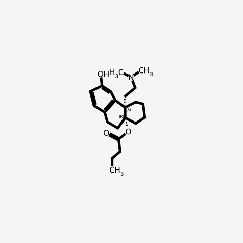 CCCC(=O)O[C@@]12CCCC[C@]1(CCN(C)C)c1cc(O)ccc1CC2